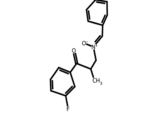 CC(C[N+]([O-])=Cc1ccccc1)C(=O)c1cccc(F)c1